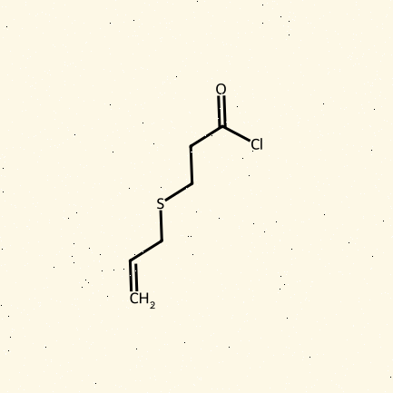 C=CCSCCC(=O)Cl